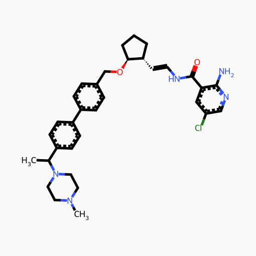 CC(c1ccc(-c2ccc(CO[C@H]3CCC[C@@H]3/C=C/NC(=O)c3cc(Cl)cnc3N)cc2)cc1)N1CCN(C)CC1